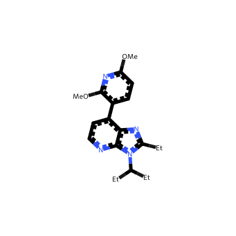 CCc1nc2c(-c3ccc(OC)nc3OC)ccnc2n1C(CC)CC